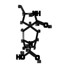 CC1CC2(CC3CCC(C2)N3C(=O)O)C(=O)N1